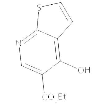 CCOC(=O)c1cnc2sccc2c1O